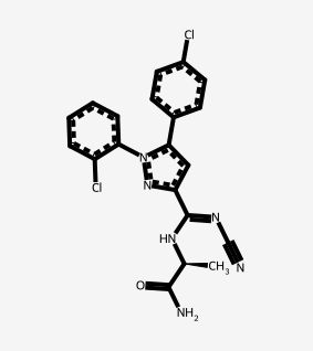 C[C@H](NC(=NC#N)c1cc(-c2ccc(Cl)cc2)n(-c2ccccc2Cl)n1)C(N)=O